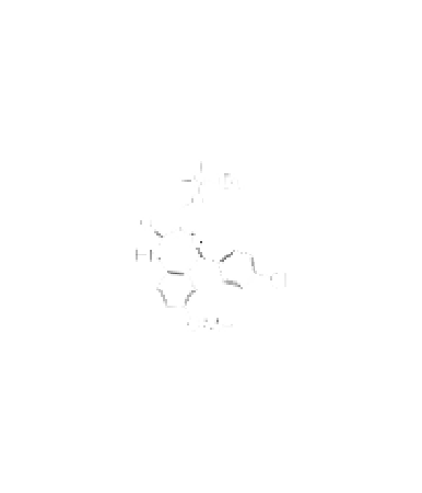 COc1ccc2c(c1)C(c1ccc(Cl)cc1)=N[C@@H](CO[Si](C)(C)C(C)(C)C)C(=O)N2